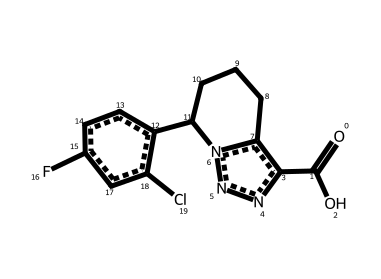 O=C(O)c1nnn2c1CCCC2c1ccc(F)cc1Cl